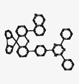 c1ccc(-c2nc(-c3ccccc3)nc(-c3ccc(-c4cccc5c4Sc4c(-c6cccc7ccncc67)cccc4C54c5ccccc5-c5ccccc54)cc3)n2)cc1